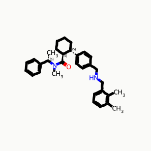 Cc1cccc(CNCc2ccc([C@H]3CCCC[C@@H]3C(=O)N(C)[C@@H](C)c3ccccc3)cc2)c1C